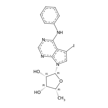 C[C@H]1O[C@@H](n2cc(I)c3c(Nc4ccccc4)ncnc32)[C@@H](O)[C@H]1O